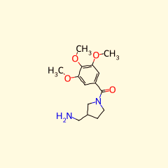 COc1cc(C(=O)N2CCC(CN)C2)cc(OC)c1OC